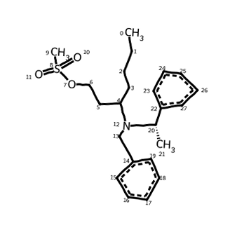 CCCCC(CCOS(C)(=O)=O)N(Cc1ccccc1)[C@@H](C)c1ccccc1